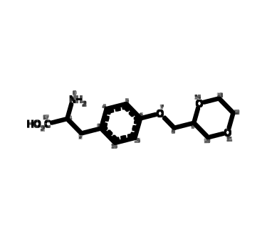 NC(Cc1ccc(OCC2COCCO2)cc1)C(=O)O